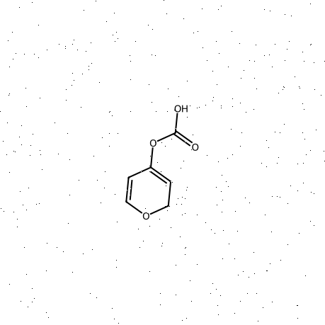 O=C(O)OC1=CCOC=C1